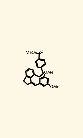 COC(=O)c1ccc(CCc2cccc3c2/C(=C\c2cc(OC)cc(OC)c2)CC3)cc1